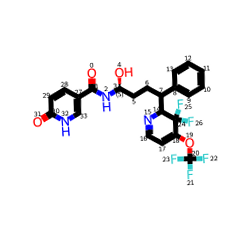 O=C(N[C@@H](O)CCC(c1ccccc1)C1N=CC=C(OC(F)(F)F)C1(F)F)c1ccc(=O)[nH]c1